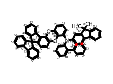 CC1(C)c2ccccc2-c2ccc(N(c3ccccc3-c3ccccc3)c3cccc4c3Oc3ccc5c(c3O4)-c3ccccc3C53c4ccccc4-c4ccccc43)cc21